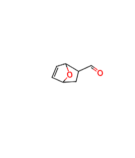 O=CC1CC2C=CC1O2